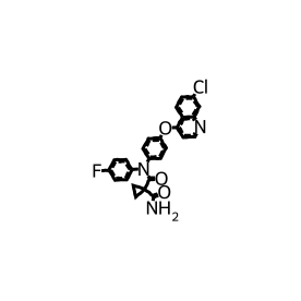 NC(=O)C1(C(=O)N(c2ccc(F)cc2)c2ccc(Oc3ccnc4cc(Cl)ccc34)cc2)CC1